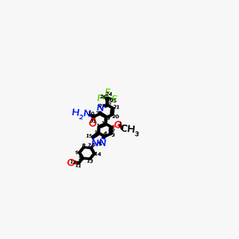 COc1cc2nn(C3CCC(C=O)CC3)cc2cc1-c1ccc(C(F)(F)F)nc1C(N)=O